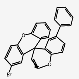 Brc1ccc2c(c1)C1(c3ccccc3O2)c2ccccc2Oc2ccc(-c3ccccc3)cc21